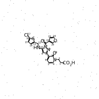 O=C(O)CCn1cccc(-c2cc(NCc3ccc(Cl)s3)n(C(=O)c3ccoc3)n2)c1=O